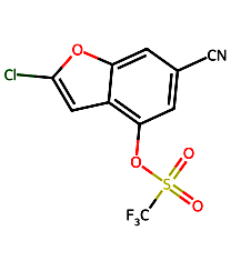 N#Cc1cc(OS(=O)(=O)C(F)(F)F)c2cc(Cl)oc2c1